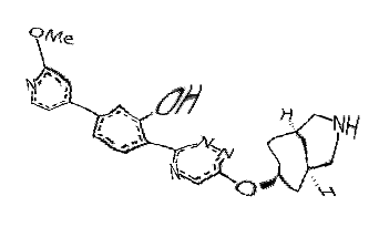 COc1cc(-c2ccc(-c3ncc(O[C@H]4C[C@H]5CNC[C@H]5C4)nn3)c(O)c2)ccn1